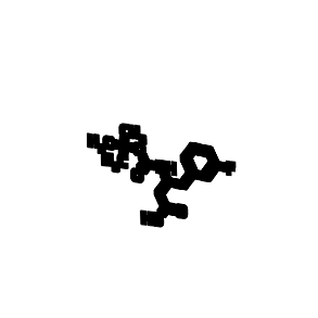 CC(C)(C)OC(=O)NC(CC(=O)O)Cc1cccc(F)c1